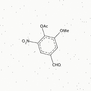 COc1cc(C=O)cc([N+](=O)[O-])c1OC(C)=O